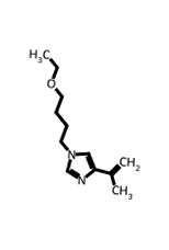 C=C(C)c1cn(CCCCOCC)cn1